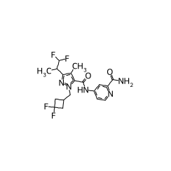 Cc1c(C(C)C(F)F)nn(CC2CC(F)(F)C2)c1C(=O)Nc1ccnc(C(N)=O)c1